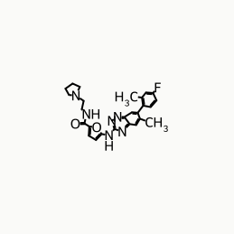 Cc1cc(F)ccc1-c1cc2nnc(Nc3ccc(C(=O)NCCN4CCCC4)o3)nc2cc1C